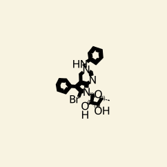 C[C@H]1O[C@@H](n2c(Br)c(-c3ccccc3)c3c2N=CN(Nc2ccccc2)C3)[C@H](O)[C@@H]1O